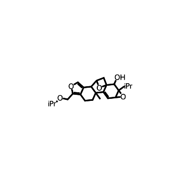 CC(C)OCc1occ2c1CCC1(C)C3=CC4OC4(C(C)C)C(O)C34CC(O4)C21